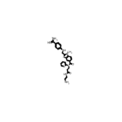 Cn1c(CNc2ccc(C(=N)N)cc2)nc2cc(C(=O)N(CCC(=O)NCCN)c3ccccn3)ccc21